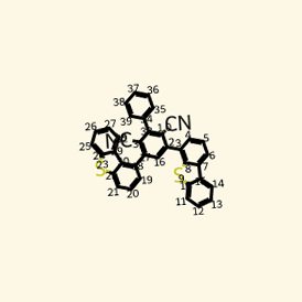 N#Cc1c(-c2cccc3c2sc2ccccc23)cc(-c2cccc3sc4ccccc4c23)c(C#N)c1-c1ccccc1